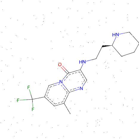 Cc1cc(C(F)(F)F)cn2c(=O)c(NCC[C@@H]3CCCCN3)cnc12